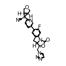 N#C[C@]1(c2ccc(-c3cc4c(cc3F)N3C(=O)O[C@@H](Cn5ccnn5)[C@@H]3C4)cn2)[C@@H]2COC[C@@H]21